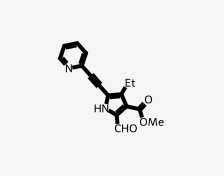 CCc1c(C#Cc2ccccn2)[nH]c(C=O)c1C(=O)OC